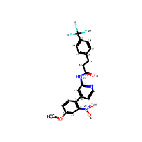 COc1ccc(-c2ccnc(NC(=O)CCc3ccc(C(F)(F)F)cc3)c2)c([N+](=O)[O-])c1